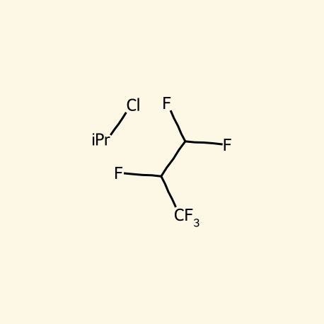 CC(C)Cl.FC(F)C(F)C(F)(F)F